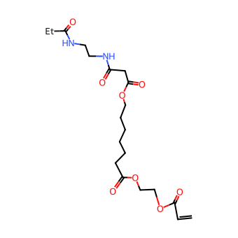 C=CC(=O)OCCOC(=O)CCCCCCOC(=O)CC(=O)NCCNC(=O)CC